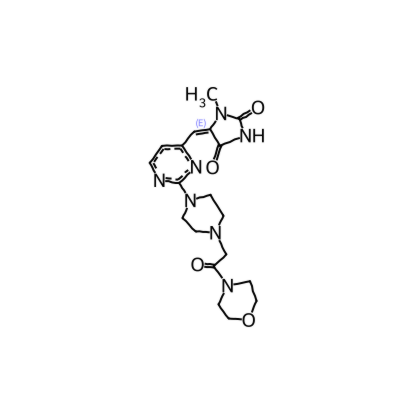 CN1C(=O)NC(=O)/C1=C\c1ccnc(N2CCN(CC(=O)N3CCOCC3)CC2)n1